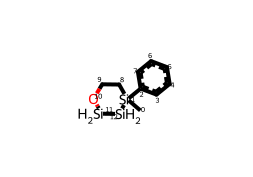 C[Si]1(c2ccccc2)CCO[SiH2][SiH2]1